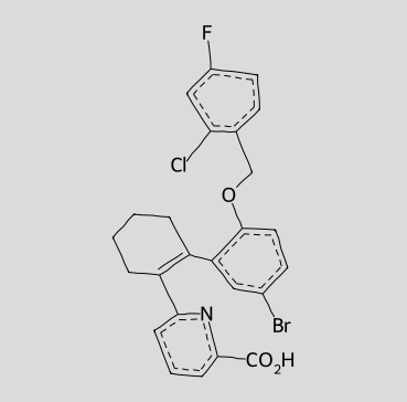 O=C(O)c1cccc(C2=C(c3cc(Br)ccc3OCc3ccc(F)cc3Cl)CCCC2)n1